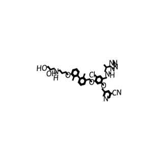 Cc1c(COc2cc(OCc3cncc(C#N)c3)c(CN(C)CC(C)c3nnn[nH]3)cc2Cl)cccc1-c1cccc(OCCCNCC(O)CO)c1C